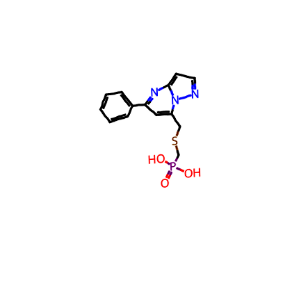 O=P(O)(O)CSCc1cc(-c2ccccc2)nc2ccnn12